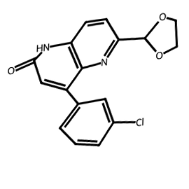 O=c1cc(-c2cccc(Cl)c2)c2nc(C3OCCO3)ccc2[nH]1